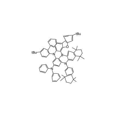 CC(C)(C)c1ccc(N2c3cc(N(c4ccccc4)c4ccccc4)cc4c3B(c3cc5c(cc3N4c3ccc4c(c3)C(C)(C)CCC4(C)C)C(C)(C)CCC5(C)C)c3c2ccc2c3oc3cc(C(C)(C)C)ccc32)c(-c2ccccc2)c1